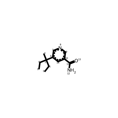 CCC(C)(CC)c1cncc(C(N)=O)c1